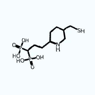 O=P(O)(O)C(CCC1CCC(CS)CN1)P(=O)(O)O